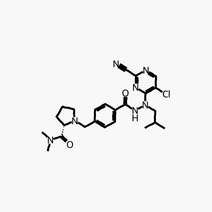 CC(C)CN(NC(=O)c1ccc(CN2CCC[C@H]2C(=O)N(C)C)cc1)c1nc(C#N)ncc1Cl